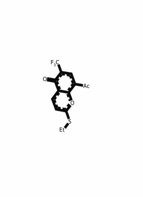 CCSc1ccc2c(=O)c(C(F)(F)F)cc(C(C)=O)c-2o1